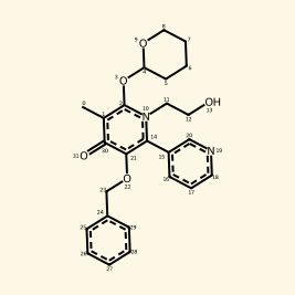 Cc1c(OC2CCCCO2)n(CCO)c(-c2cccnc2)c(OCc2ccccc2)c1=O